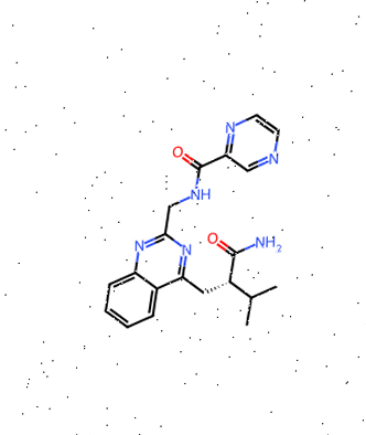 CC(C)[C@H](Cc1nc(CNC(=O)c2cnccn2)nc2ccccc12)C(N)=O